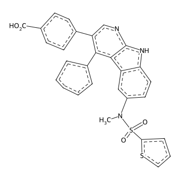 CN(c1ccc2[nH]c3ncc(-c4ccc(C(=O)O)cc4)c(-c4ccccc4)c3c2c1)S(=O)(=O)c1cccs1